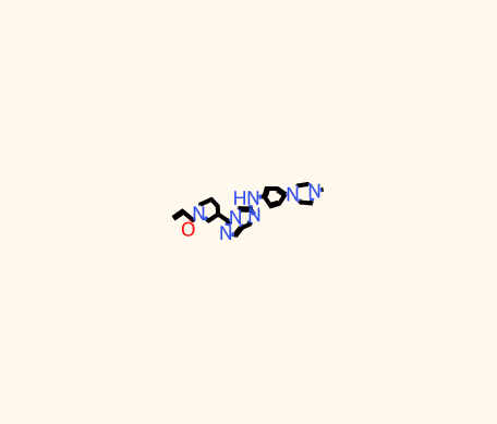 C=CC(=O)N1CCCC(c2ncc3cnc(Nc4ccc(N5CCN(C)CC5)cc4)cn23)C1